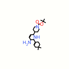 CC1(C)CC=C(C2NC(C3CCN(C(=O)OC(C)(C)C)CC3)C=CC2N)CC1